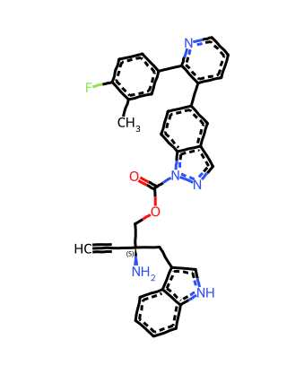 C#C[C@](N)(COC(=O)n1ncc2cc(-c3cccnc3-c3ccc(F)c(C)c3)ccc21)Cc1c[nH]c2ccccc12